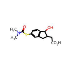 CN(C)C(=O)Sc1ccc2c(c1)CC(CC(=O)O)C2O